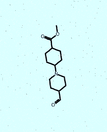 COC(=O)C1CCC(N2CCC(C=O)CC2)CC1